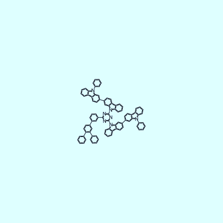 c1ccc(-c2ccc(-c3cccc(-c4nc(-n5c6ccccc6c6ccc(-c7ccc8c9ccccc9n(-c9ccccc9)c8c7)cc65)nc(-n5c6ccccc6c6ccc(-c7ccc8c9ccccc9n(-c9ccccc9)c8c7)cc65)n4)c3)cc2-c2ccccc2)cc1